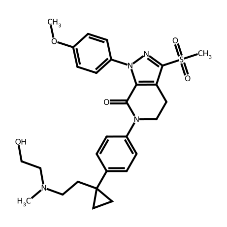 COc1ccc(-n2nc(S(C)(=O)=O)c3c2C(=O)N(c2ccc(C4(CCN(C)CCO)CC4)cc2)CC3)cc1